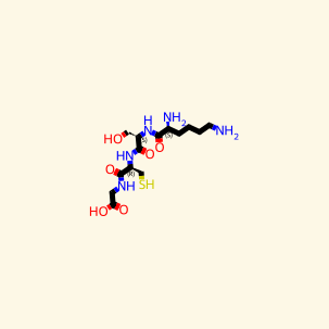 NCCCC[C@H](N)C(=O)N[C@@H](CO)C(=O)N[C@@H](CS)C(=O)NCC(=O)O